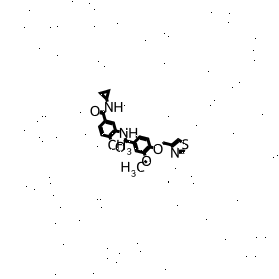 COc1cc(C(=O)Nc2cc(C(=O)NC3CC3)ccc2C)ccc1OCc1cscn1